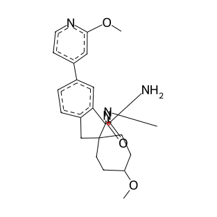 COc1cc(-c2ccc3c(c2)C2(N=C(N)N(C)C2=O)C2(CCC(OC)CC2)C3)ccn1